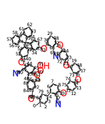 Cc1ccc(-c2cccc(Oc3ccc(Oc4cccc(Oc5ccc(Oc6cccc(Oc7ccc(C8(c9ccc(Oc%10cccc(C)c%10C#N)cc9)c9ccccc9-c9ccccc98)cc7)c6C#N)cc5)c4)cc3)c2C#N)cc1C(=O)c1cccc(SOOO)c1